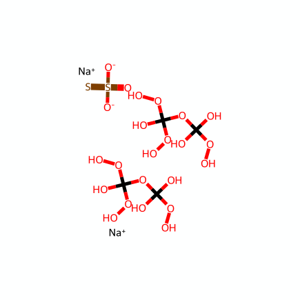 O=S([O-])([O-])=S.OOC(O)(O)OC(O)(OO)OO.OOC(O)(O)OC(O)(OO)OO.[Na+].[Na+]